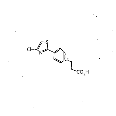 O=C(O)CC[n+]1ccc(-c2nc(Cl)cs2)cn1